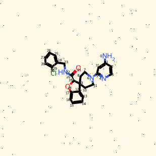 Nc1ccnc(N2CCC3(CC2)c2ccccc2O[C@H]3C(=O)NCc2ccccc2Cl)c1